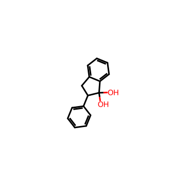 OC1(O)c2ccccc2CC1c1ccccc1